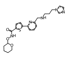 O=C(NOC1CCCCO1)c1ccc(-c2cccc(CNCCCn3ccnc3)n2)s1